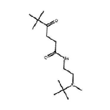 CN(CCNC(=O)CCC(=O)C(C)(C)C)C(C)(C)C